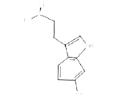 Cc1ccc2c(CCN(C)C)c[nH]c2c1